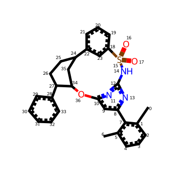 Cc1cccc(C)c1-c1cc2nc(n1)NS(=O)(=O)c1cccc(c1)C1CCC(c3ccccc3)C(C1)O2